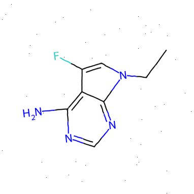 CCn1cc(F)c2c(N)ncnc21